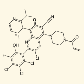 C=CC(=O)N1CCN(c2c(C#N)c(=O)n(C3C(C(C)C)=NC=C[C@H]3C)c3nc(-c4c(O)c(F)c(Cl)c(Cl)c4Cl)c(Cl)cc23)CC1